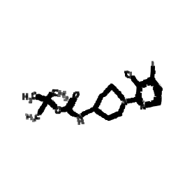 CC(C)(C)OC(=O)NC1CCN(c2nccc(I)c2Cl)CC1